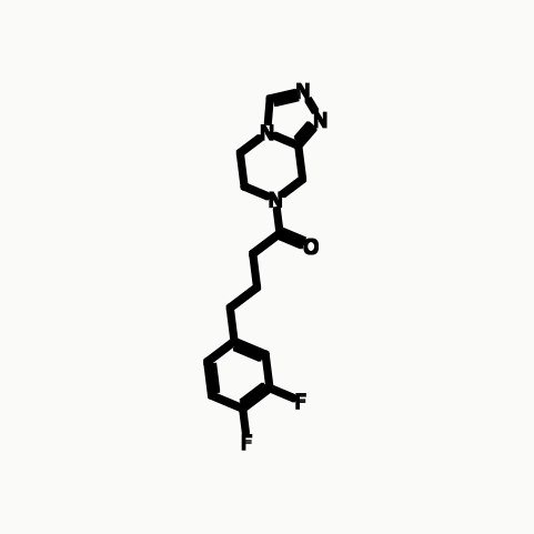 O=C(CCCc1ccc(F)c(F)c1)N1CCn2cnnc2C1